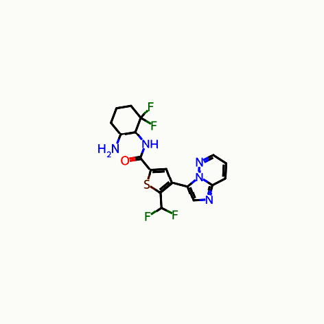 NC1CCCC(F)(F)C1NC(=O)c1cc(-c2cnc3cccnn23)c(C(F)F)s1